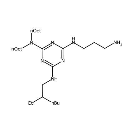 CCCCCCCCN(CCCCCCCC)c1nc(NCCCN)nc(NCC(CC)CCCC)n1